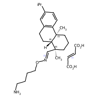 CC(C)c1ccc2c(c1)CC[C@H]1[C@](C)(/C=N/OCCCCN)CCC[C@]21C.O=C(O)/C=C/C(=O)O